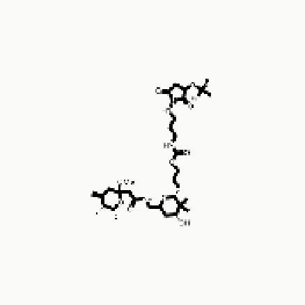 C=C1C[C@@](CC(=O)NCC2C[C@@H](O)C(C)(C)[C@@H](CCCOC(=O)NCCCNN3C(=O)CC(SC(C)(CC)CC)C3=O)O2)(OC)O[C@H](C)[C@@H]1C